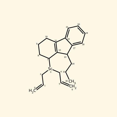 C=C[CH2][Sc]([CH2]C=C)[CH]1CCCC2=C1C(CCC)c1ccccc12